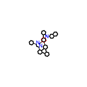 c1ccc(-c2cc(-c3cccc4c5ccccc5c5ccc(-c6ccc7c8ccccc8n(-c8ccc9ccccc9c8)c7c6)cc5c34)nc(-c3ccccc3)n2)cc1